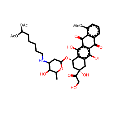 COc1cccc2c1C(=O)c1c(O)c3c(c(O)c1C2=O)C[C@@](O)(C(=O)CO)C[C@@H]3OC1CC(NCCCCCC(OC(C)=O)OC(C)=O)C(O)C(C)O1